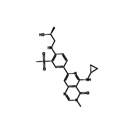 C[C@H](O)CNc1ccc(-c2cc3ncn(C)c(=O)c3c(NC3CC3)n2)cc1S(C)(=O)=O